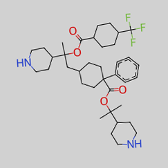 CC(C)(OC(=O)C1(c2ccccc2)CCC(CC(C)(OC(=O)C2CCC(C(F)(F)F)CC2)C2CCNCC2)CC1)C1CCNCC1